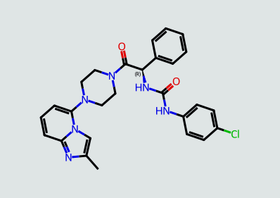 Cc1cn2c(N3CCN(C(=O)[C@H](NC(=O)Nc4ccc(Cl)cc4)c4ccccc4)CC3)cccc2n1